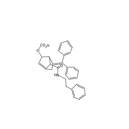 O=C(O)OC1C=C2CC(=C(c3ccccc3)c3ccccc3)C1C2C(=O)NCCc1ccccc1